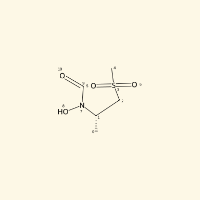 C[C@@H](CS(C)(=O)=O)N(O)C=O